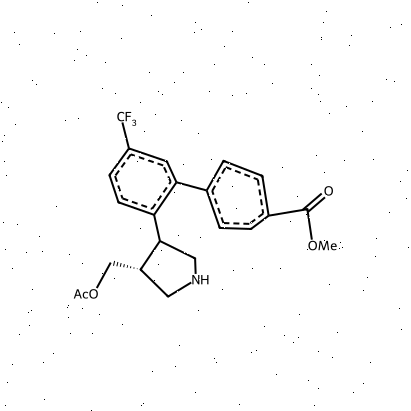 COC(=O)c1ccc(-c2cc(C(F)(F)F)ccc2C2CNC[C@@H]2COC(C)=O)cc1